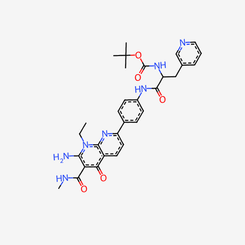 CCn1c(N)c(C(=O)NC)c(=O)c2ccc(-c3ccc(NC(=O)C(Cc4cccnc4)NC(=O)OC(C)(C)C)cc3)nc21